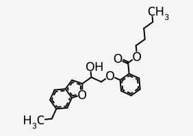 CCCCCOC(=O)c1ccccc1OCC(O)c1cc2ccc(CC)cc2o1